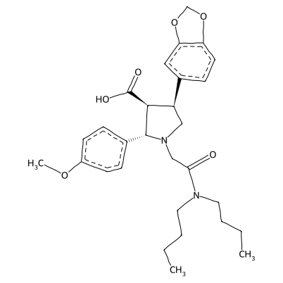 CCCCN(CCCC)C(=O)CN1C[C@H](c2ccc3c(c2)OCO3)[C@H](C(=O)O)[C@H]1c1ccc(OC)cc1